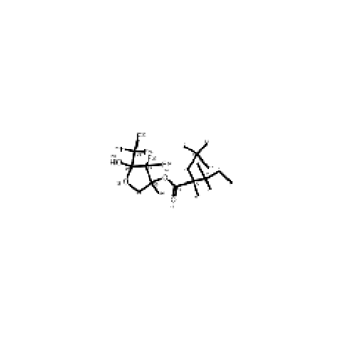 CCC(C)(C)C(C)(CC(C)(C)C)C(=O)OC1(C)COC(O)(C(F)(F)F)C1(F)F